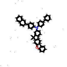 CC1(C)c2cc(N(c3ccc(-c4ccccc4)cc3)c3ccc(-c4ccc5ccccc5c4)cc3)ccc2-c2cc3c(cc21)oc1ccccc13